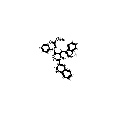 COC(=O)CN(C(=O)C(Cc1c[nH]c2ccccc12)NC(=O)c1cnc2ccccc2c1)c1ccccc1